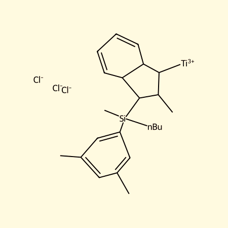 CCCC[Si](C)(c1cc(C)cc(C)c1)C1C(C)[CH]([Ti+3])C2C=CC=CC21.[Cl-].[Cl-].[Cl-]